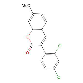 COc1ccc2cc(-c3ccc(Cl)cc3Cl)c(=O)oc2c1